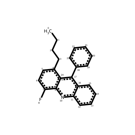 CCCCc1ccc(F)c2nc3ccccc3c(-c3ccccc3)c12